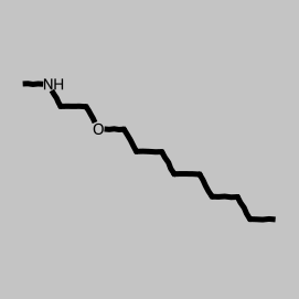 CCCCCCCCCOCCNC